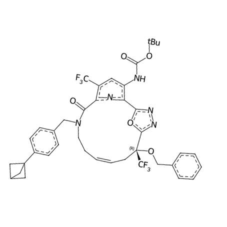 CC(C)(C)OC(=O)Nc1cc(C(F)(F)F)c2nc1-c1nnc(o1)[C@@](OCc1ccccc1)(C(F)(F)F)CC=CCCN(Cc1ccc(C34CC(C3)C4)cc1)C2=O